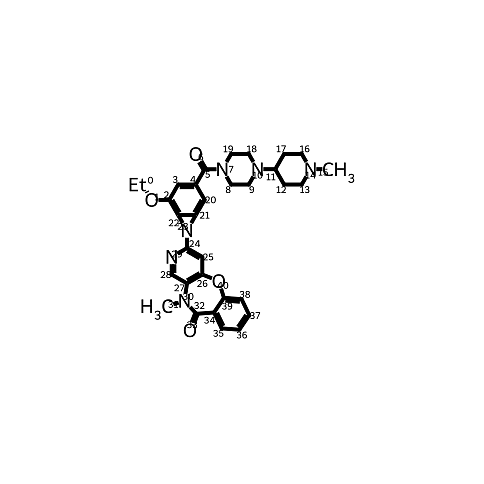 CCOc1cc(C(=O)N2CCN(C3CCN(C)CC3)CC2)cc2c1N2c1cc2c(cn1)N(C)C(=O)c1ccccc1O2